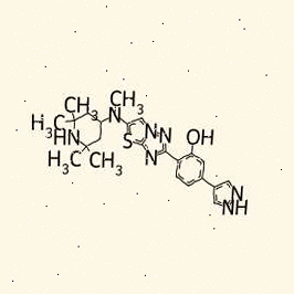 CN(c1cn2nc(-c3ccc(-c4cn[nH]c4)cc3O)nc2s1)C1CC(C)(C)NC(C)(C)C1